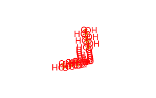 O.O.O.O.O.O.O.O.O.O.O.O.O=S(=O)(O)O.O=S(=O)(O)O.O=S(=O)(O)O.O=S(=O)(O)O.O=S(=O)(O)O.O=S(=O)(O)O